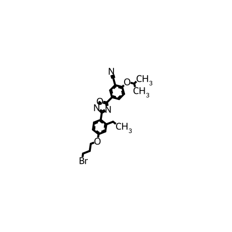 CCc1cc(OCCCBr)ccc1-c1noc(-c2ccc(OC(C)C)c(C#N)c2)n1